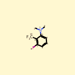 CN(C)c1cccc(I)c1C(F)(F)F